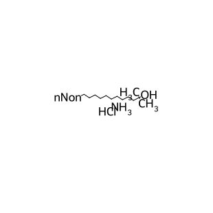 CCCCCCCCCCCCCCCCCCCC(C)(C)O.Cl.N